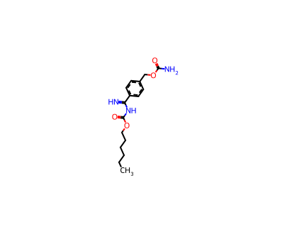 CCCCCCOC(=O)NC(=N)c1ccc(COC(N)=O)cc1